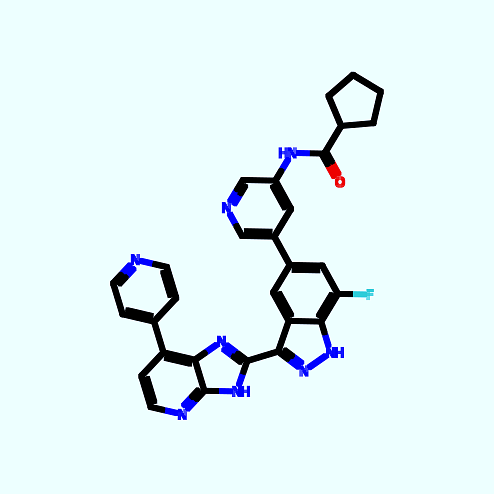 O=C(Nc1cncc(-c2cc(F)c3[nH]nc(-c4nc5c(-c6ccncc6)ccnc5[nH]4)c3c2)c1)C1CCCC1